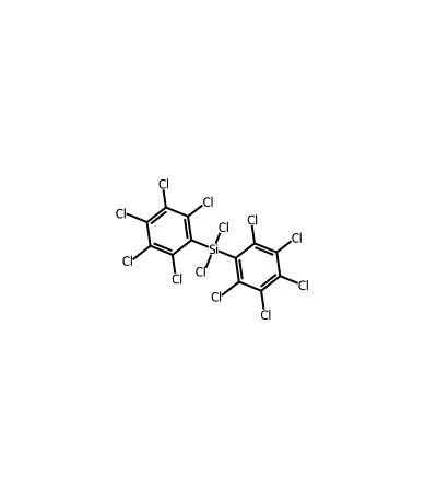 Clc1c(Cl)c(Cl)c([Si](Cl)(Cl)c2c(Cl)c(Cl)c(Cl)c(Cl)c2Cl)c(Cl)c1Cl